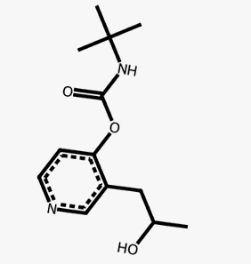 CC(O)Cc1cnccc1OC(=O)NC(C)(C)C